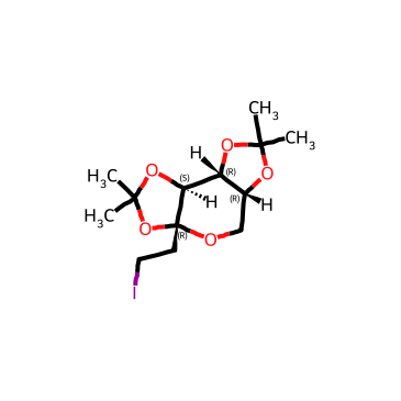 CC1(C)O[C@@H]2[C@@H](CO[C@]3(CCI)OC(C)(C)O[C@@H]23)O1